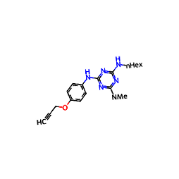 C#CCOc1ccc(Nc2nc(NC)nc(NCCCCCC)n2)cc1